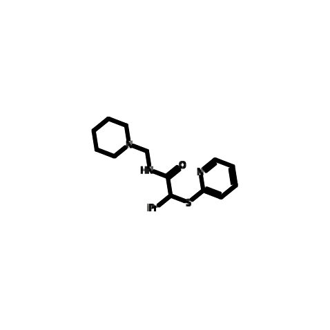 CC(C)C(Sc1ccccn1)C(=O)NCN1CCCCC1